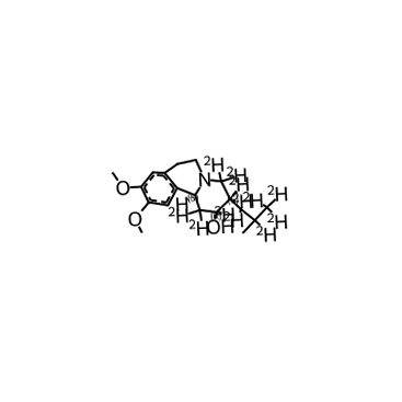 [2H]C([2H])([2H])C([2H])(C)C([2H])([2H])[C@@]1([2H])C([2H])([2H])N2CCc3cc(OC)c(OC)cc3[C@@H]2C([2H])([2H])[C@@]1([2H])O